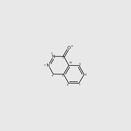 O=C1N=NCc2ccc[c]c21